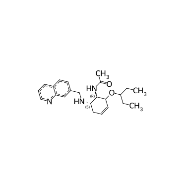 CCC(CC)OC1C=CC[C@H](NCc2ccc3cccnc3c2)[C@H]1NC(C)=O